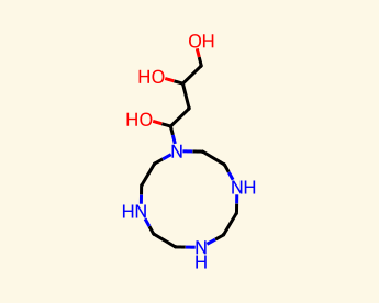 OCC(O)CC(O)N1CCNCCNCCNCC1